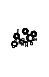 O=C1Nc2ccccc2C(c2ccccc2)=NC1Nc1nnc(-c2cc(F)ccc2N2CCOCC2)o1